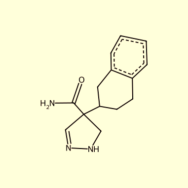 NC(=O)C1(C2CCc3ccccc3C2)C=NNC1